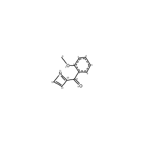 COc1ccccc1C(=O)C1=NC=C1